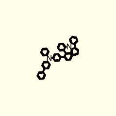 c1ccc(-c2ccc(N(c3ccccc3)c3ccc(-c4ccccc4-c4ccccc4-n4c5ccccc5c5ccccc54)cc3)cc2)cc1